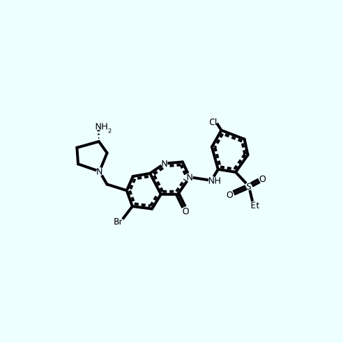 CCS(=O)(=O)c1ccc(Cl)cc1Nn1cnc2cc(CN3CC[C@H](N)C3)c(Br)cc2c1=O